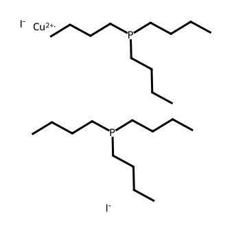 CCCCP(CCCC)CCCC.CCCCP(CCCC)CCCC.[Cu+2].[I-].[I-]